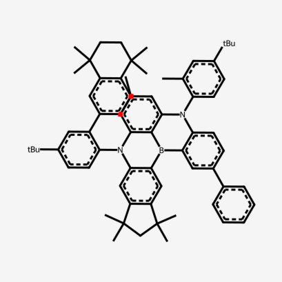 Cc1cc2c3c(c1)N(c1ccc(C(C)(C)C)cc1-c1ccc4c(c1)C(C)(C)CCC4(C)C)c1cc4c(cc1B3c1cc(-c3ccccc3)ccc1N2c1ccc(C(C)(C)C)cc1C)C(C)(C)CC4(C)C